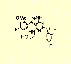 COc1cc(F)ccc1-c1n[nH]c2nc(Oc3ccc(F)cc3F)nc(NC[C@H](C)O)c12